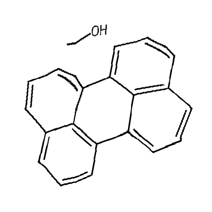 CO.c1cc2cccc3c4cccc5cccc(c(c1)c23)c54